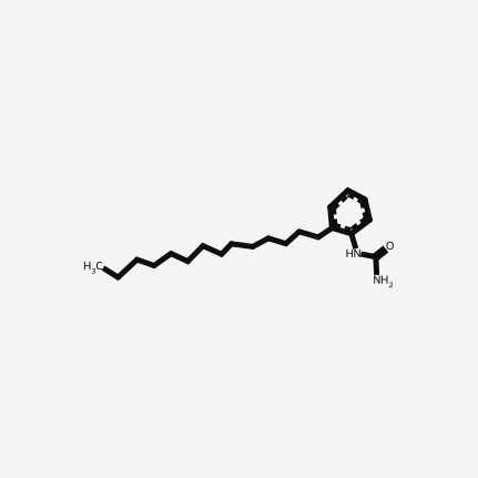 CCCCCCCCCCCCCCc1ccccc1NC(N)=O